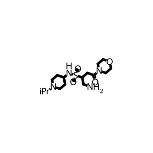 CC(C)N1CCC(NS(=O)(=O)C(CN)CC(=O)N2CCOCC2)CC1